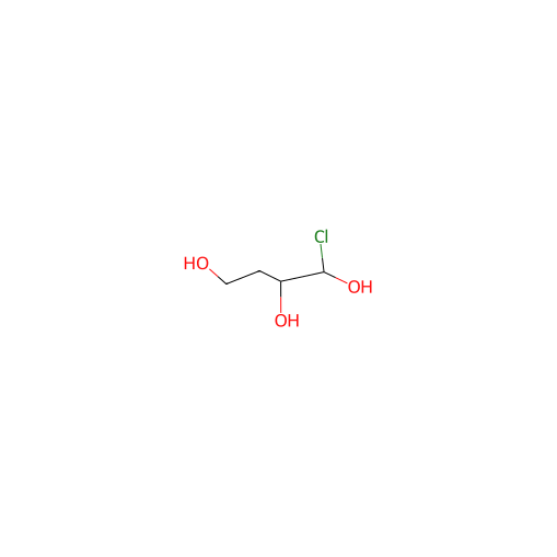 OCCC(O)C(O)Cl